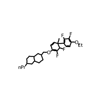 CCCC1CCC2CC(COC3=C(F)C(F)C(C)(c4ccc(OCC)c(F)c4F)C=C3)CCC2C1